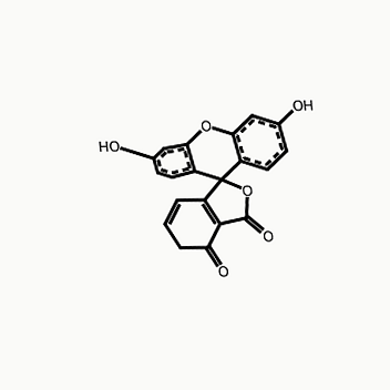 O=C1CC=CC2=C1C(=O)OC21c2ccc(O)cc2Oc2cc(O)ccc21